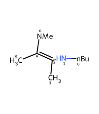 CCCCN/C(C)=C(/C)NC